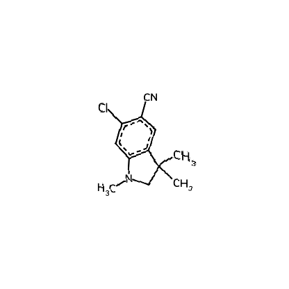 CN1CC(C)(C)c2cc(C#N)c(Cl)cc21